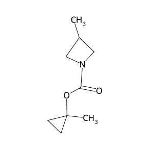 CC1CN(C(=O)OC2(C)CC2)C1